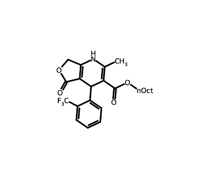 CCCCCCCCOC(=O)C1=C(C)NC2=C(C(=O)OC2)C1c1ccccc1C(F)(F)F